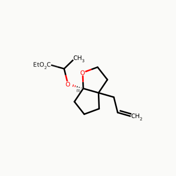 C=CCC12CCC[C@@]1(OC(C)C(=O)OCC)OCC2